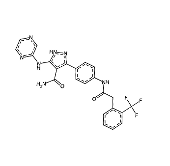 NC(=O)c1c(-c2ccc(NC(=O)Cc3ccccc3C(F)(F)F)cc2)n[nH]c1Nc1cnccn1